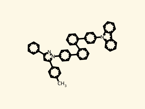 Cc1ccc(-c2cc(-c3ccccc3)nn2-c2ccc(-c3ccccc3-c3ccccc3-c3ccc(-n4c5ccccc5c5ccccc54)cc3)cc2)cc1